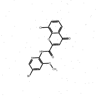 COc1cc(Br)cnc1NC(=O)c1cc(=O)c2cccc(Cl)c2o1